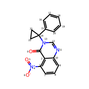 O=c1c2c([N+](=O)[O-])cccc2ncn1C1(c2ccccc2)CC1